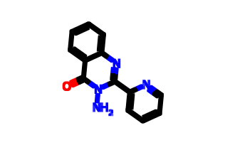 Nn1c(-c2ccccn2)nc2ccccc2c1=O